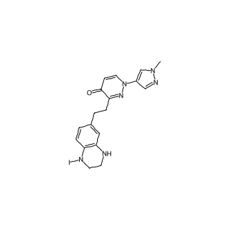 Cn1cc(-n2ccc(=O)c(CCc3ccc4c(c3)NCCN4I)n2)cn1